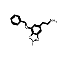 NCCc1cc(OCc2ccccc2)c2c(c1)ONO2